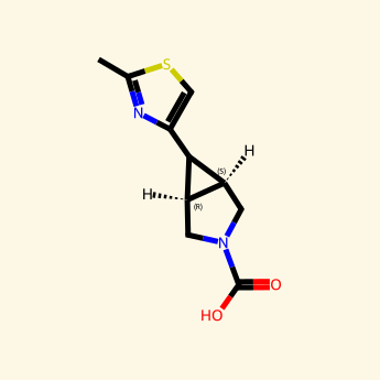 Cc1nc(C2[C@H]3CN(C(=O)O)C[C@@H]23)cs1